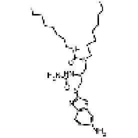 CCCCCCCCNC(=O)N(CCCCCCCC)CC(CSc1nc2ccc(N)cc2s1)NC(N)=O